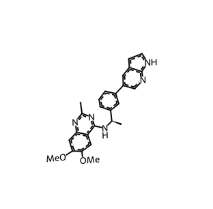 COc1cc2nc(C)nc(N[C@H](C)c3cccc(-c4cnc5[nH]ccc5c4)c3)c2cc1OC